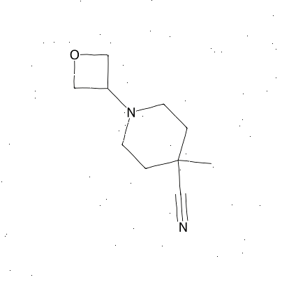 CC1(C#N)CCN(C2COC2)CC1